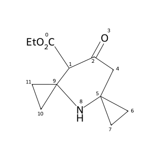 CCOC(=O)C1C(=O)CC2(CC2)NC12CC2